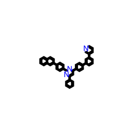 c1ccc(-c2cc(-c3ccc(-c4cccc(-c5cccnc5)c4)cc3)nc(-c3ccc(-c4ccc5ccccc5c4)cc3)n2)cc1